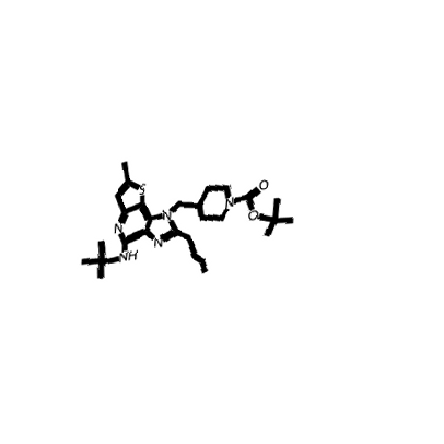 CCCCc1nc2c(NC(C)(C)C)nc3cc(C)sc3c2n1CC1CCN(C(=O)OC(C)(C)C)CC1